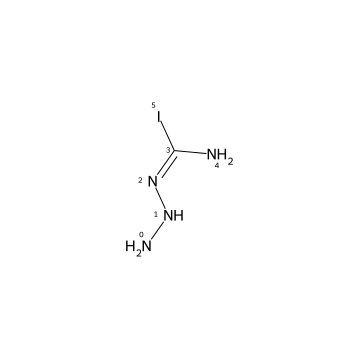 NN/N=C(\N)I